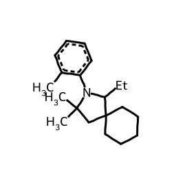 CCC1N(c2ccccc2C)C(C)(C)CC12CCCCC2